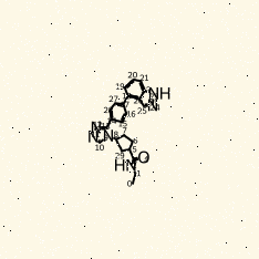 CCNC(=O)C1CCC(n2cnnc2-c2ccc(-c3cccc4[nH]ncc34)cc2)C1